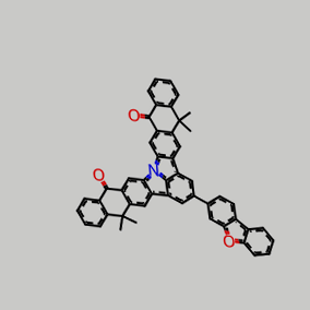 CC1(C)c2ccccc2C(=O)c2cc3c(cc21)c1cc(-c2ccc4c(c2)oc2ccccc24)cc2c4cc5c(cc4n3c12)C(=O)c1ccccc1C5(C)C